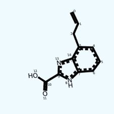 C=CCc1cccc2[nH]c(C(=O)O)nc12